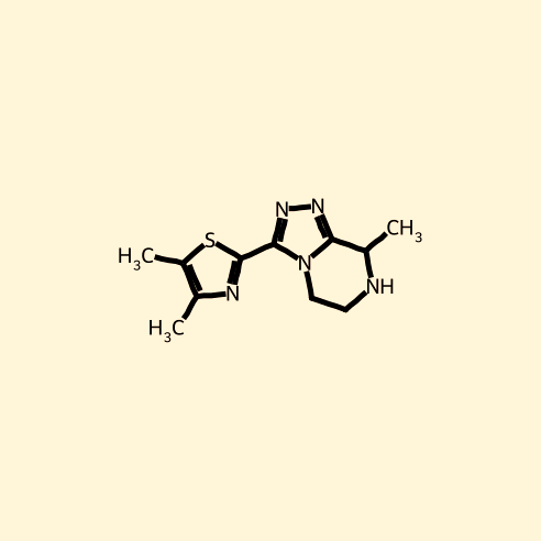 Cc1nc(-c2nnc3n2CCNC3C)sc1C